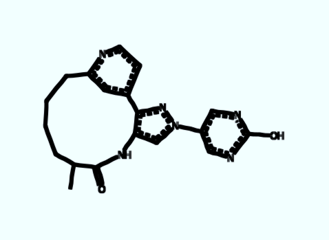 CC1CCCCc2cc(ccn2)-c2nn(-c3cnc(O)nc3)cc2NC1=O